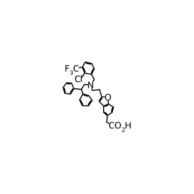 O=C(O)Cc1ccc2oc(CCN(Cc3cccc(C(F)(F)F)c3Cl)CC(c3ccccc3)c3ccccc3)cc2c1